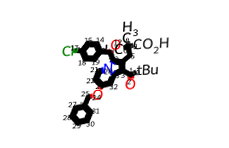 CC(C)(C)C(=O)c1c(CC(C)(C)C(=O)O)c(C(=O)c2ccc(Cl)cc2)n2ccc(OCc3ccccc3)cc12